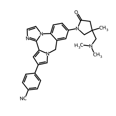 CN(C)CC1(C)CC(=O)N(c2ccc3c(c2)Cn2cc(-c4ccc(C#N)cc4)cc2-c2nccn2-3)C1